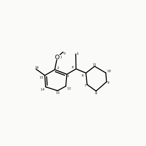 COC1=C(C(C)C2CCCCC2)CCC=C1C